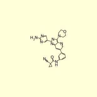 N#CC1(C(=O)Nc2cccc(-c3cnc4c(N5CCOCC5)nc(-c5cnc(N)nc5)nc4c3)c2)CC1